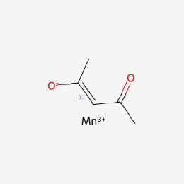 CC(=O)/C=C(\C)[O-].[Mn+3]